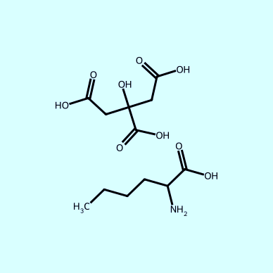 CCCCC(N)C(=O)O.O=C(O)CC(O)(CC(=O)O)C(=O)O